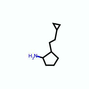 NC1CCCC1CCC1CC1